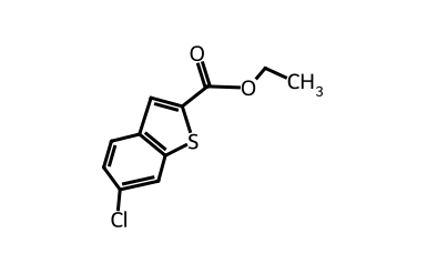 CCOC(=O)c1cc2ccc(Cl)cc2s1